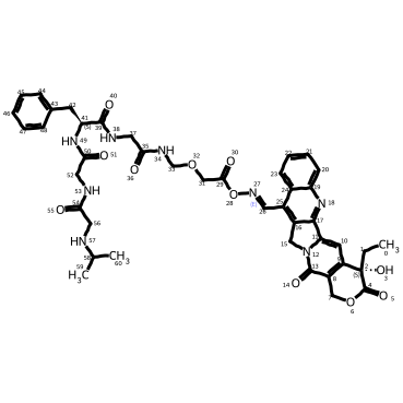 CC[C@@]1(O)C(=O)OCc2c1cc1n(c2=O)Cc2c-1nc1ccccc1c2/C=N/OC(=O)COCNC(=O)CNC(=O)[C@H](Cc1ccccc1)NC(=O)CNC(=O)CNC(C)C